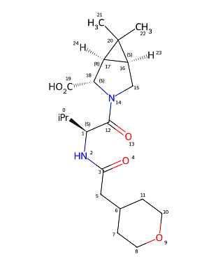 CC(C)[C@H](NC(=O)CC1CCOCC1)C(=O)N1C[C@H]2[C@@H]([C@H]1C(=O)O)C2(C)C